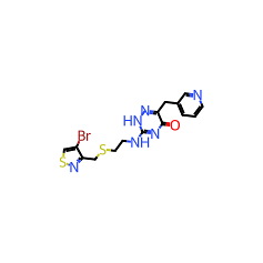 O=c1nc(NCCSCc2nscc2Br)[nH]nc1Cc1cccnc1